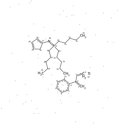 C=CC(=C)c1ccccc1.CCCCCP(CCCCC)(CCCCC)=NC1=CC=CC1.[Ti]